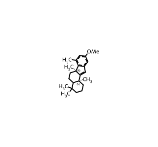 COc1cc(C)c2c(c1)C=C1[C@@]2(C)CCC2C(C)(C)CCC[C@]12C